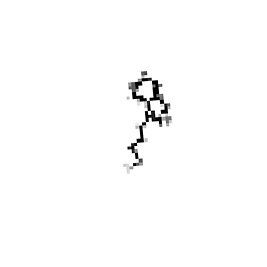 FCCCCn1ncc2ccccc21